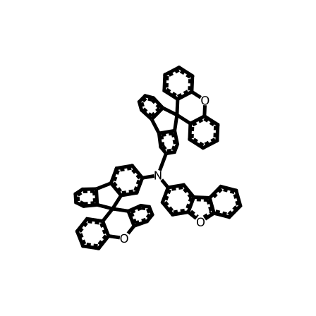 c1ccc2c(c1)Oc1ccccc1C21c2ccccc2-c2cc(N(c3ccc4c(c3)C3(c5ccccc5Oc5ccccc53)c3ccccc3-4)c3ccc4oc5ccccc5c4c3)ccc21